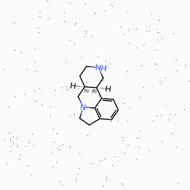 c1cc2c3c(c1)[C@@H]1CNCC[C@@H]1CN3CC2